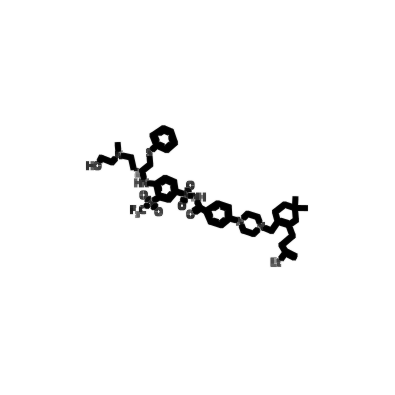 C=C(CC)CCC1=C(CN2CCN(c3ccc(C(=O)NS(=O)(=O)c4ccc(N[C@H](CCN(C)CCO)CSc5ccccc5)c(S(=O)(=O)C(F)(F)F)c4)cc3)CC2)CCC(C)(C)C1